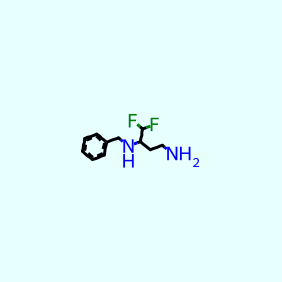 NCCC(NCc1ccccc1)C(F)F